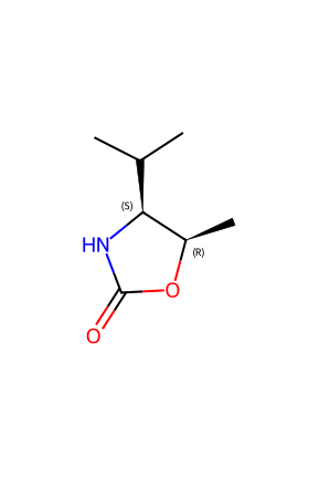 CC(C)[C@@H]1NC(=O)O[C@@H]1C